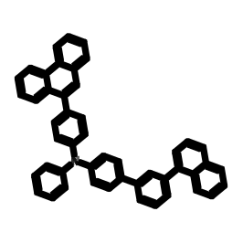 c1ccc(N(c2ccc(-c3cccc(-c4cccc5ccccc45)c3)cc2)c2ccc(-c3cc4ccccc4c4ccccc34)cc2)cc1